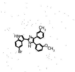 COc1cccc(-c2[nH]c(-c3c[nH]c4ccc(Br)cc34)nc2-c2cccc(C)c2)c1